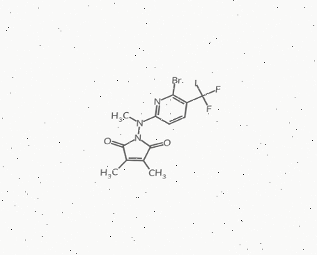 CC1=C(C)C(=O)N(N(C)c2ccc(C(F)(F)I)c(Br)n2)C1=O